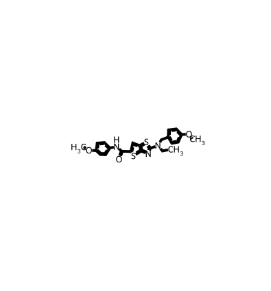 CCN(Cc1ccc(OC)cc1)c1nc2sc(C(=O)Nc3ccc(OC)cc3)cc2s1